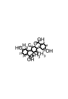 Cc1cc(-c2cc(O)ccc2C(=O)O)c(C)c(C)c1-c1cc(O)ccc1C(=O)O